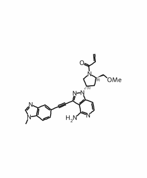 C=CC(=O)N1C[C@@H](n2nc(C#Cc3ccc4c(c3)ncn4C)c3c(N)nccc32)C[C@@H]1COC